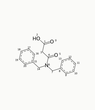 O=C(O)CC(=O)N(Cc1ccccc1)Cc1ccccc1